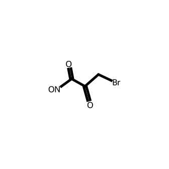 O=NC(=O)C(=O)CBr